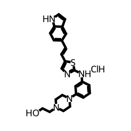 Cl.OCCN1CCN(c2cccc(Nc3ncc(/C=C/c4ccc5[nH]ccc5c4)s3)c2)CC1